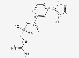 N=C(N)NOS(=O)(=O)CC(=O)c1cccc(-c2sccc2Cl)c1